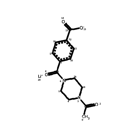 CC(=O)N1CCN(C(=O)c2ccc(C(=O)[O-])cc2)CC1.[Li+]